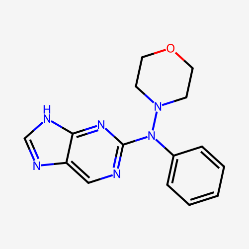 c1ccc(N(c2ncc3nc[nH]c3n2)N2CCOCC2)cc1